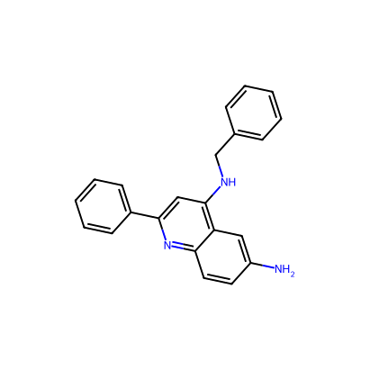 Nc1ccc2nc(-c3ccccc3)cc(NCc3ccccc3)c2c1